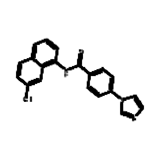 O=C(Nc1cccc2ccc(O)cc12)c1ccc(-n2ccnc2)cc1